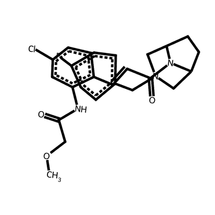 COCC(=O)Nc1cc(Cl)ccc1C=CC(=O)N1C2CCC1CN(Cc1ccc(F)cc1)C2